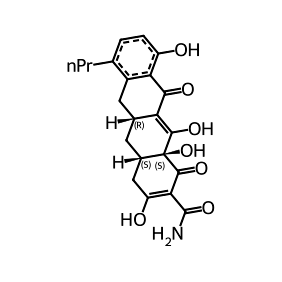 CCCc1ccc(O)c2c1C[C@H]1C[C@H]3CC(O)=C(C(N)=O)C(=O)[C@@]3(O)C(O)=C1C2=O